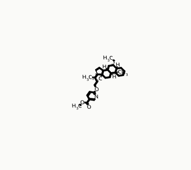 CC[C@H]1C[C@H]2C3CC[C@H]([C@H](C)CCOc4ccc(C(=O)OC)cn4)[C@@]3(C)CC[C@@H]2[C@@]2(C)CCCC[C@@H]12